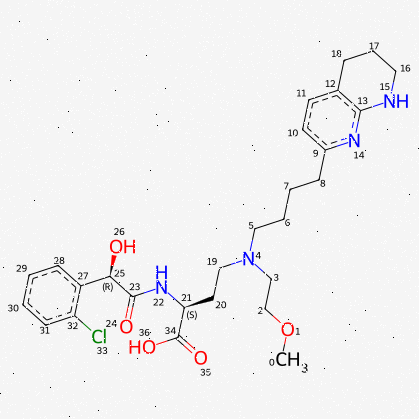 COCCN(CCCCc1ccc2c(n1)NCCC2)CC[C@H](NC(=O)[C@H](O)c1ccccc1Cl)C(=O)O